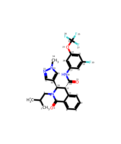 CC(C)CN1C(=O)c2ccccc2[C@@H](C(=O)Nc2cc(F)cc(OC(F)(F)F)c2)[C@@H]1c1cnn(C)c1